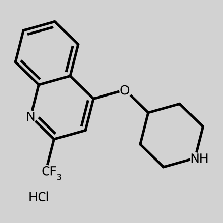 Cl.FC(F)(F)c1cc(OC2CCNCC2)c2ccccc2n1